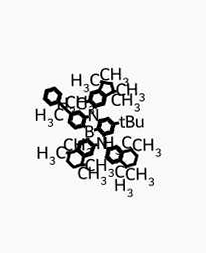 Cc1cc2c(cc1N1c3cc(C(C)(C)c4ccccc4)ccc3B3c4cc5c(cc4N(c4ccc6c(c4)C(C)(C)CCC6(C)C)c4cc(C(C)(C)C)cc1c43)C(C)(C)CCC5(C)C)C(C)(C)CC2(C)C